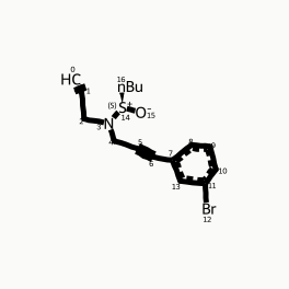 C#CCN(CC#Cc1cccc(Br)c1)[S@+]([O-])CCCC